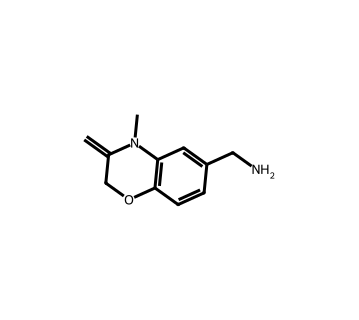 C=C1COc2ccc(CN)cc2N1C